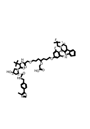 Cc1ncsc1-c1ccc(CNC(=O)[C@@H]2C[C@@H](O)CN2C(=O)C(NC(=O)COCCCC(CCCOc2cc(F)c([C@@H]3c4[nH]c5ccccc5c4C[C@@H](C)N3CC(C)(C)F)c(F)c2)OCC(=O)O)C(C)(C)C)cc1